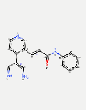 N=C/C(=C\N)c1ccncc1/C=C/C(=O)Nc1ccccc1